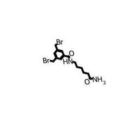 NC(=O)CCCCCNC(=O)c1cc(CBr)cc(CBr)c1